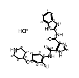 Cl.O=C(Nc1nc2ccccc2[nH]1)c1nc[nH]c1C(=O)Nc1ccc(OC2CCNCC2)cc1Cl